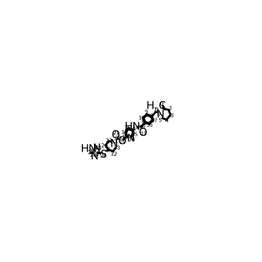 CC1CCCCN1Cc1ccc(C(=O)Nc2ccc(OC(=O)N3CCC(Sc4nc[nH]n4)CC3)nc2)cc1